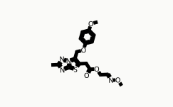 CON=CCOC(=O)Cc1sc2nc(C)nn2c1COc1ccc(OC)cc1